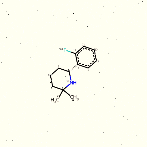 CC1(C)CCC[C@H](c2cc[c]cc2F)N1